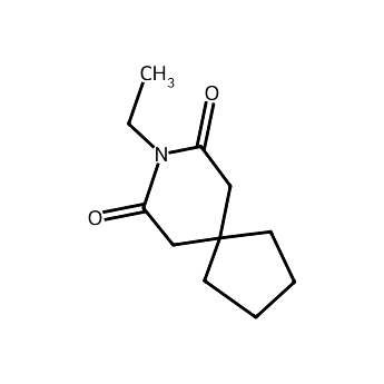 CCN1C(=O)CC2(CCCC2)CC1=O